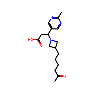 CC(=O)CCCCC1CN(C(CC(=O)O)c2cnc(C)nc2)C1